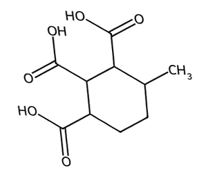 CC1CCC(C(=O)O)C(C(=O)O)C1C(=O)O